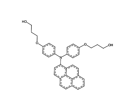 OCCCOc1ccc(N(c2ccc(OCCCO)cc2)c2ccc3ccc4cccc5ccc2c3c45)cc1